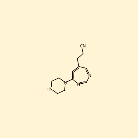 N#CCCC1=C=C(N2CCNCC2)N=CN=C1